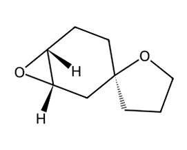 C1CO[C@]2(C1)CC[C@H]1O[C@H]1C2